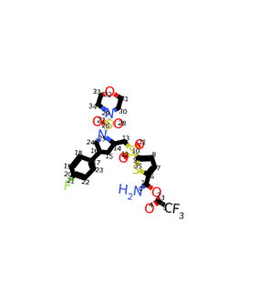 NC(OC(=O)C(F)(F)F)c1ccc(S(=O)(=O)CC2CC(c3ccc(F)cc3)CN2S(=O)(=O)N2CCOCC2)s1